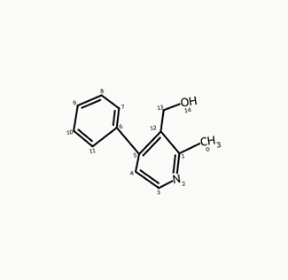 Cc1nccc(-c2ccccc2)c1CO